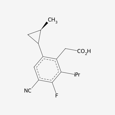 CC(C)c1c(F)c(C#N)cc(C2C[C@H]2C)c1CC(=O)O